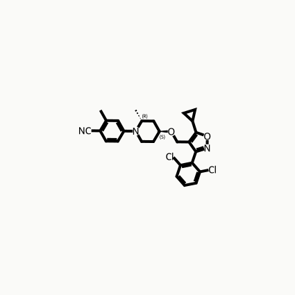 Cc1cc(N2CC[C@H](OCc3c(-c4c(Cl)cccc4Cl)noc3C3CC3)C[C@H]2C)ccc1C#N